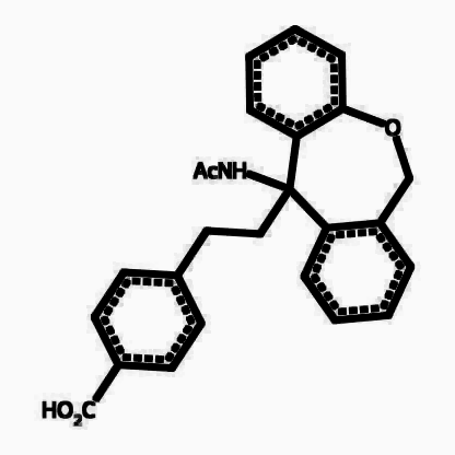 CC(=O)NC1(CCc2ccc(C(=O)O)cc2)c2ccccc2COc2ccccc21